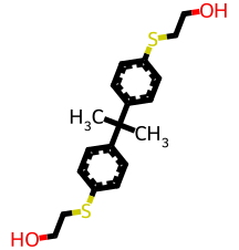 CC(C)(c1ccc(SCCO)cc1)c1ccc(SCCO)cc1